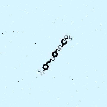 [CH2-][C+]1CCC(COOCc2ccc(OCCCC3CCC(C)CC3)cc2)CC1